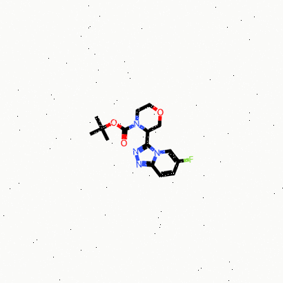 CC(C)(C)OC(=O)N1CCOCC1c1nnc2ccc(F)cn12